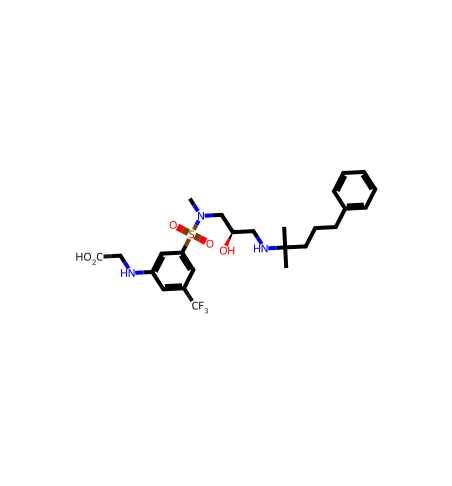 CN(C[C@H](O)CNC(C)(C)CCCc1ccccc1)S(=O)(=O)c1cc(NCC(=O)O)cc(C(F)(F)F)c1